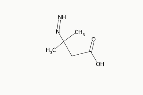 CC(C)(CC(=O)O)N=N